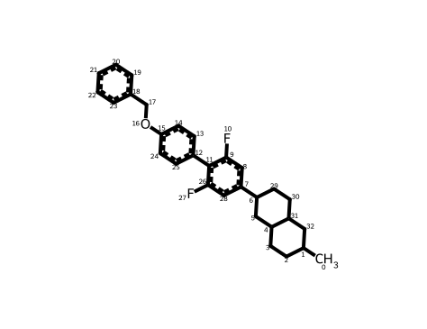 CC1CCC2CC(c3cc(F)c(-c4ccc(OCc5ccccc5)cc4)c(F)c3)CCC2C1